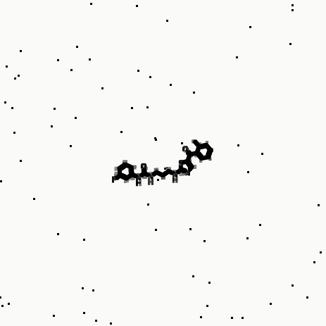 Cc1ccccc1C(=O)c1cnc(NCCCNC(=O)Nc2cccc(F)c2)s1